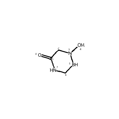 O=C1CN(O)BCN1